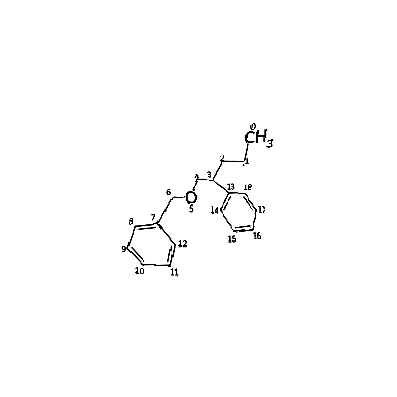 C[CH]CC(COCc1ccccc1)c1ccccc1